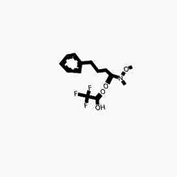 CON(C)C(=O)CCCc1ccccc1.O=C(O)C(F)(F)F